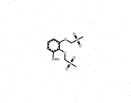 COc1cccc(OCS(C)(=O)=O)c1OCS(C)(=O)=O